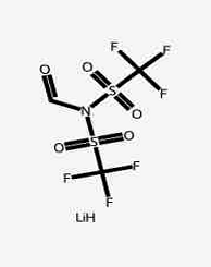 O=CN(S(=O)(=O)C(F)(F)F)S(=O)(=O)C(F)(F)F.[LiH]